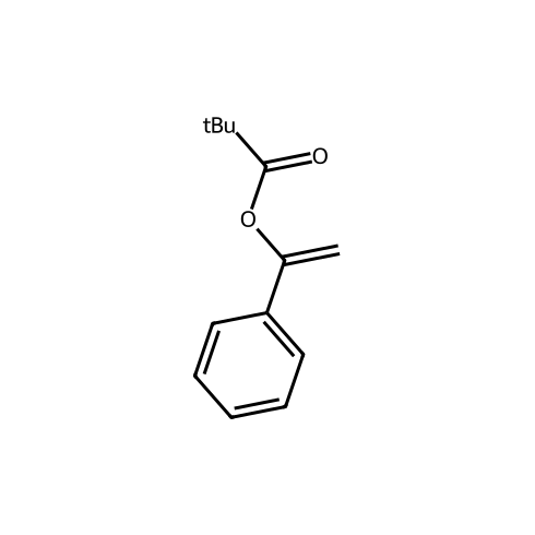 C=C(OC(=O)C(C)(C)C)c1ccccc1